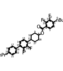 CCCCc1ccc(C(=O)OC2CCC(c3ccc(-c4ccc(CCC)cc4)c(F)c3F)CC2)c(F)c1F